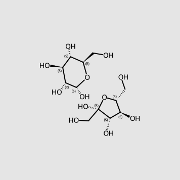 OC[C@H]1O[C@H](O)[C@H](O)[C@@H](O)[C@@H]1O.OC[C@H]1O[C@](O)(CO)[C@@H](O)[C@@H]1O